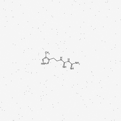 Cc1c[nH]cc1CCNC(=N)NC(=N)N